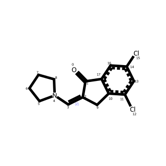 O=C1/C(=C\N2CCCC2)Cc2c(Cl)cc(Cl)cc21